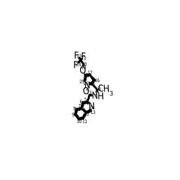 C[C@@H](NC(=O)c1cc2ccccc2cn1)c1ccc(OCC(F)(F)F)cn1